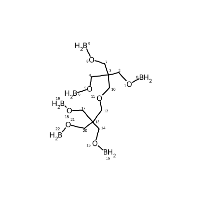 BOCC(COB)(COB)COCC(COB)(COB)COB